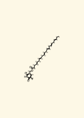 CCC=CCC=CCC=CCC=CCC=CCC=CCCC(=O)OCn1cc(F)c(=O)[nH]c1=O